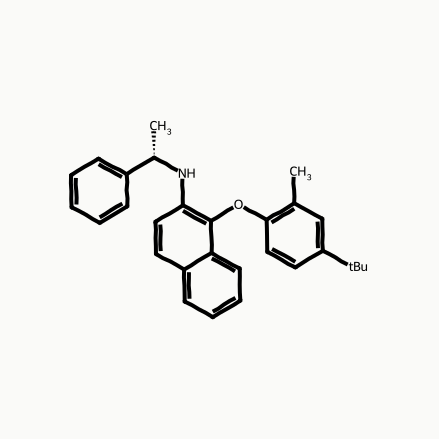 Cc1cc(C(C)(C)C)ccc1Oc1c(N[C@@H](C)c2ccccc2)ccc2ccccc12